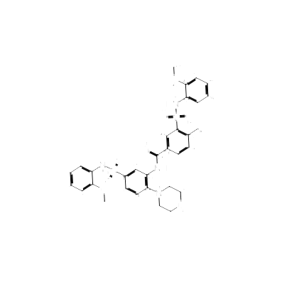 COc1ccccc1NS(=O)(=O)c1ccc(N2CCOCC2)c(NC(=O)c2ccc(C)c(S(=O)(=O)Nc3ccccc3OC)c2)c1